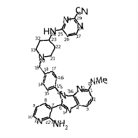 CNc1ccc2nc(-c3cccnc3N)n(-c3ccc(CN4CCC(Nc5ccnc(C#N)n5)CC4)cc3)c2n1